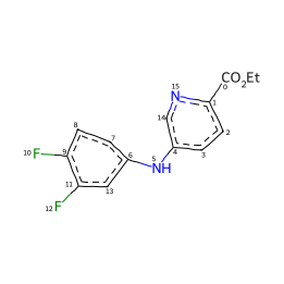 CCOC(=O)c1ccc(Nc2ccc(F)c(F)c2)cn1